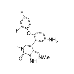 CN/C=C1\C(=N)C(=O)N(C)C=C1c1cc(N)ccc1Oc1ccc(F)cc1F